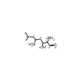 CC(C)CC(N)CC(O)C(N)C=O